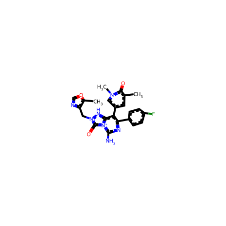 Cc1ocnc1Cn1[nH]c2c(-c3cc(C)c(=O)n(C)c3)c(-c3ccc(F)cc3)nc(N)[n+]2c1=O